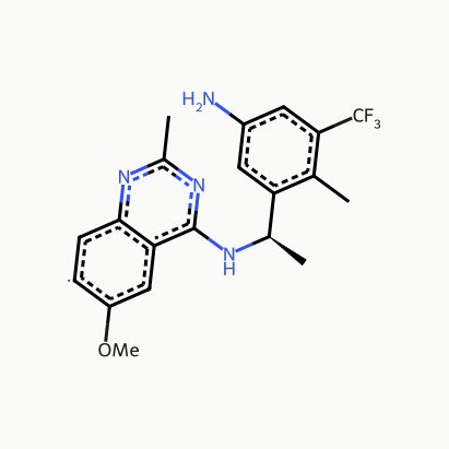 COc1[c]cc2nc(C)nc(N[C@H](C)c3cc(N)cc(C(F)(F)F)c3C)c2c1